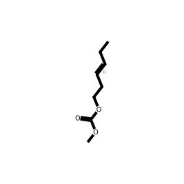 CC/C=C/CCOC(=O)OC